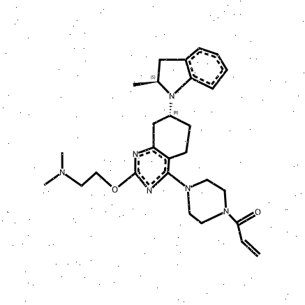 C=CC(=O)N1CCN(c2nc(OCCN(C)C)nc3c2CC[C@@H](N2c4ccccc4C[C@@H]2C)C3)CC1